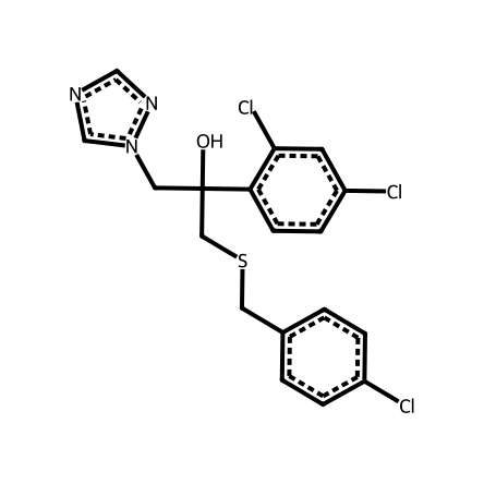 OC(CSCc1ccc(Cl)cc1)(Cn1cncn1)c1ccc(Cl)cc1Cl